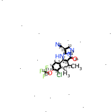 CC(C)c1c(-c2ccc(OC(F)(F)F)c(Cl)c2)[nH]c2c(C#N)cnn2c1=O